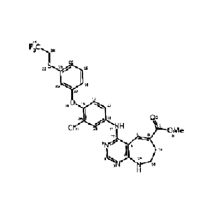 COC(=O)C1=Cc2c(ncnc2Nc2ccc(Oc3cccc(SCC(F)(F)F)c3)c(Cl)c2)NCC1